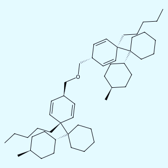 CCCCC[C@]1(C2([C@H]3CC[C@H](C)CC3)CCCCC2)C=C[C@H](COC[C@H]2C=C[C@](CCCCC)(C3([C@H]4CC[C@H](C)CC4)CCCCC3)C=C2)C=C1